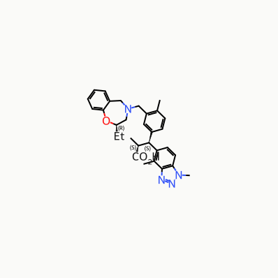 CC[C@@H]1CN(Cc2cc([C@@H](c3ccc4c(nnn4C)c3C)[C@H](C)C(=O)O)ccc2C)Cc2ccccc2O1